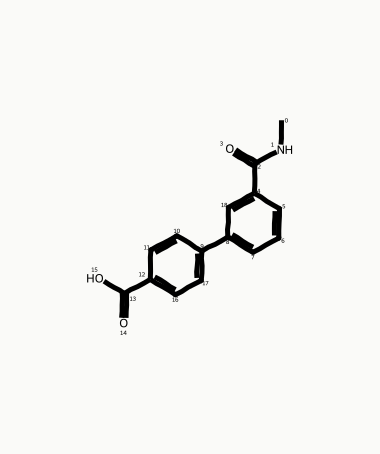 CNC(=O)c1cccc(-c2ccc(C(=O)O)cc2)c1